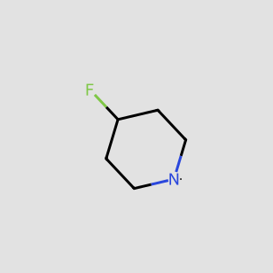 FC1CC[N]CC1